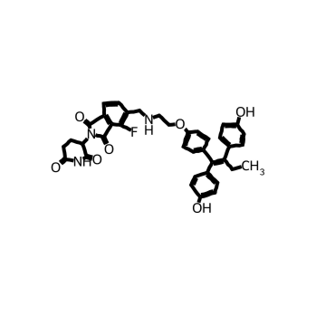 CCC(=C(c1ccc(O)cc1)c1ccc(OCCNCc2ccc3c(c2F)C(=O)N(C2CCC(=O)NC2=O)C3=O)cc1)c1ccc(O)cc1